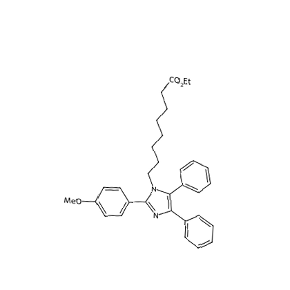 CCOC(=O)CCCCCCCn1c(-c2ccc(OC)cc2)nc(-c2ccccc2)c1-c1ccccc1